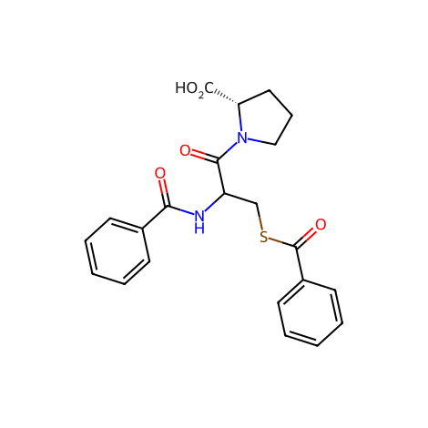 O=C(NC(CSC(=O)c1ccccc1)C(=O)N1CCC[C@H]1C(=O)O)c1ccccc1